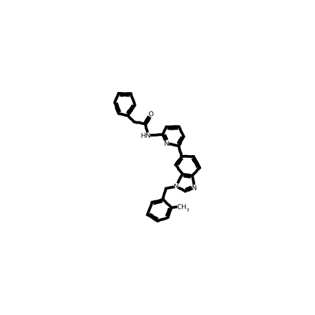 Cc1ccccc1Cn1cnc2ccc(-c3cccc(NC(=O)Cc4ccccc4)n3)cc21